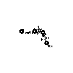 CC(C)(C)c1ccc(NC(=O)N2Cc3ccc(S(=O)(=O)Nc4ccc(OCCCOc5ccccc5)cc4F)cc3C2)cc1